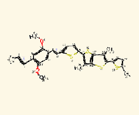 C/C=C/c1cc(OC)c(/C=C/c2ccc(-c3sc4c(C)c(-c5ccc(C)s5)sc4c3C)s2)cc1OC